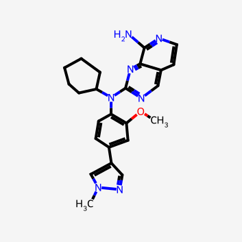 COc1cc(-c2cnn(C)c2)ccc1N(c1ncc2ccnc(N)c2n1)C1CCCCC1